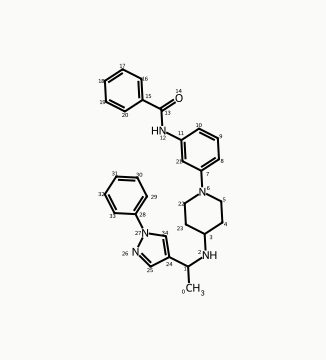 CC(NC1CCN(c2cccc(NC(=O)c3ccccc3)c2)CC1)c1cnn(-c2ccccc2)c1